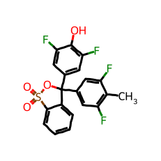 Cc1c(F)cc(C2(c3cc(F)c(O)c(F)c3)OS(=O)(=O)c3ccccc32)cc1F